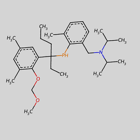 CCCC(CC)(Pc1c(C)cccc1CN(C(C)C)C(C)C)c1cc(C)cc(C)c1OCOC